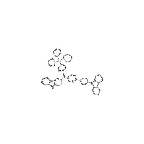 c1ccc([Si](c2ccccc2)(c2ccccc2)c2ccc(N(c3ccc(-c4ccc(-n5c6ccccc6c6ccccc65)cc4)cc3)c3ccc4sc5ccccc5c4c3)cc2)cc1